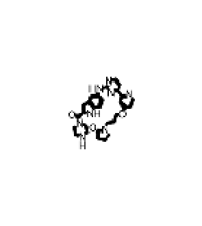 O=C1CCCN1CCCOc1ccnc(-c2ccnc(Nc3ccc4[nH]c(C(=O)N5CCNCC5)cc4c3)n2)c1